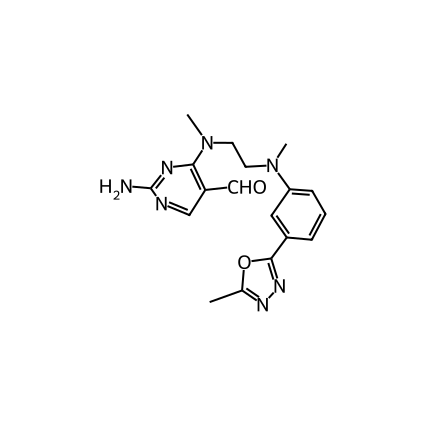 Cc1nnc(-c2cccc(N(C)CCN(C)c3nc(N)ncc3C=O)c2)o1